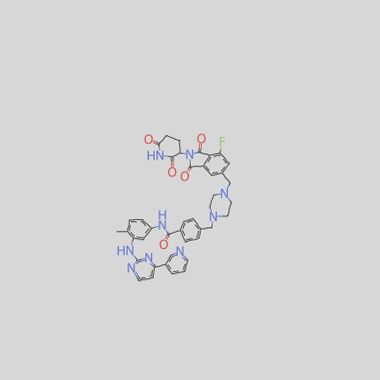 Cc1ccc(NC(=O)c2ccc(CN3CCN(Cc4cc(F)c5c(c4)C(=O)N(C4CCC(=O)NC4=O)C5=O)CC3)cc2)cc1Nc1nccc(-c2cccnc2)n1